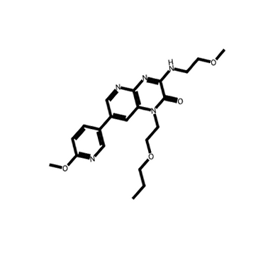 CCCOCCn1c(=O)c(NCCOC)nc2ncc(-c3ccc(OC)nc3)cc21